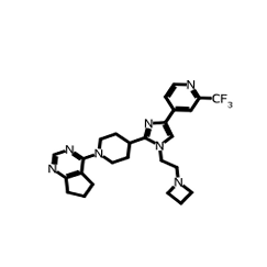 FC(F)(F)c1cc(-c2cn(CCN3CCC3)c(C3CCN(c4ncnc5c4CCC5)CC3)n2)ccn1